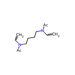 C=CN(CCCCN(C=C)C(C)=O)C(C)=O